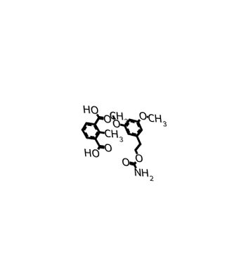 COc1cc(CCOC(N)=O)cc(OC)c1.Cc1c(C(=O)O)cccc1C(=O)O